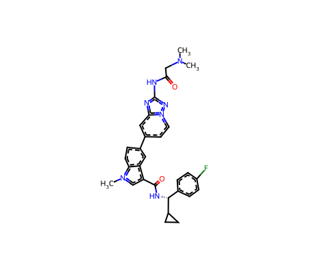 CN(C)CC(=O)Nc1nc2cc(-c3ccc4c(c3)c(C(=O)N[C@H](c3ccc(F)cc3)C3CC3)cn4C)ccn2n1